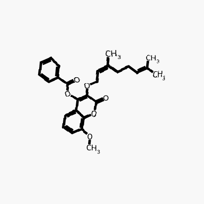 COc1cccc2c(OC(=O)c3ccccc3)c(OCC=C(C)CCC=C(C)C)c(=O)oc12